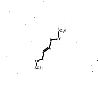 O=S(=O)(O)OC/C=C/COS(=O)(=O)O